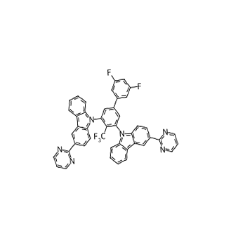 Fc1cc(F)cc(-c2cc(-n3c4ccccc4c4cc(-c5ncccn5)ccc43)c(C(F)(F)F)c(-n3c4ccccc4c4cc(-c5ncccn5)ccc43)c2)c1